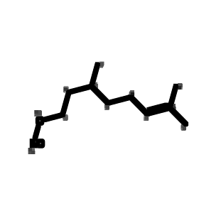 CC(C)=CCCC(C)CCON=O